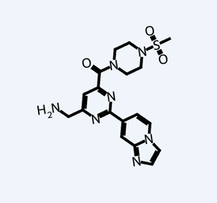 CS(=O)(=O)N1CCN(C(=O)c2cc(CN)nc(-c3ccn4ccnc4c3)n2)CC1